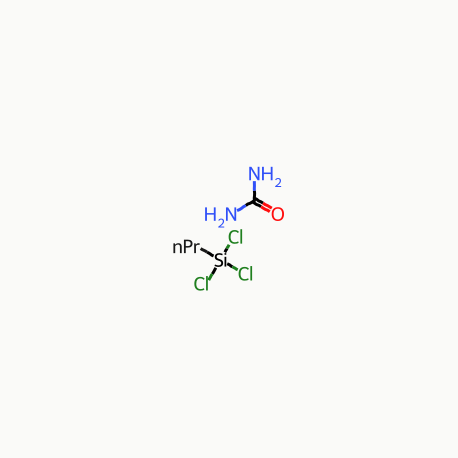 CCC[Si](Cl)(Cl)Cl.NC(N)=O